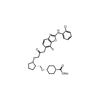 COC(=O)[C@H]1CC[C@H](OC[C@@H]2CCCN2OCC(=O)Cc2ccc3nc(Nc4ccccc4Cl)oc3c2F)CC1